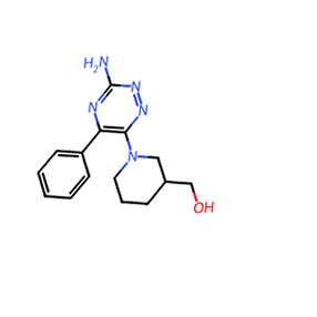 Nc1nnc(N2CCCC(CO)C2)c(-c2ccccc2)n1